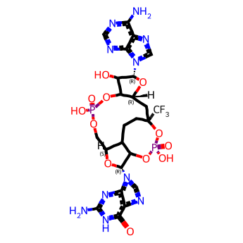 Nc1nc2c(ncn2[C@@H]2O[C@@H]3COP(=O)(O)OC4C(O)[C@H](n5cnc6c(N)ncnc65)O[C@@H]4CC4(C(F)(F)F)CCC3C2OP(=O)(O)O4)c(=O)[nH]1